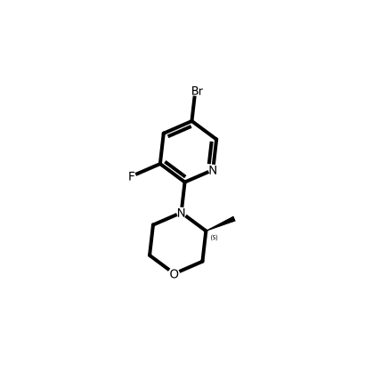 C[C@H]1COCCN1c1ncc(Br)cc1F